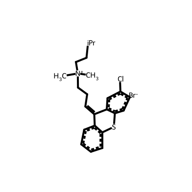 CC(C)CC[N+](C)(C)CCC=C1c2ccccc2Sc2ccc(Cl)cc21.[Br-]